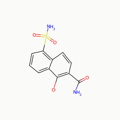 NC(=O)c1ccc2c(S(N)(=O)=O)cccc2c1[O]